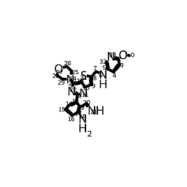 COc1ccc(NCc2cc3nc(-c4cccc(N)c4C=N)nc(N4CCOCC4)c3s2)cn1